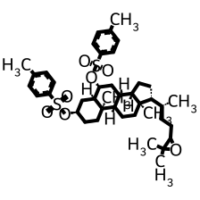 Cc1ccc(S(=O)(=O)O[C@@H]2CC[C@]3(C)[C@H]4CC[C@]5(C)[C@@H]([C@H](C)CCC6OC6(C)C)CC[C@H]5[C@@H]4C[C@H](OS(=O)(=O)c4ccc(C)cc4)[C@@H]3C2)cc1